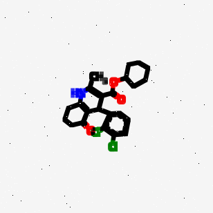 CC1=C(C(=O)OC2CCCCC2)C(c2cccc(Cl)c2Cl)C2=C(CCCC2=O)N1